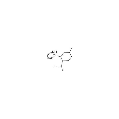 CC1CCC(C(C)C)C(c2ccc[nH]2)C1